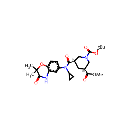 COC(=O)[C@H]1C[C@@H](C(=O)N(c2ccc3c(c2)NC(=O)C(C)(C)O3)C2CC2)CN(C(=O)OC(C)(C)C)C1